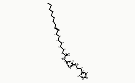 CCCCCCCC/C=C/CCCCCCCC(=O)Nc1nnc(NCCc2cccs2)s1